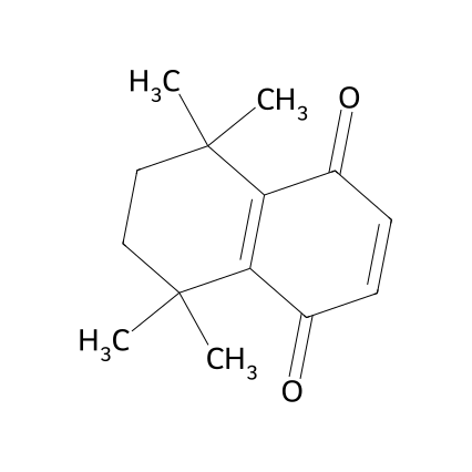 CC1(C)CCC(C)(C)C2=C1C(=O)C=CC2=O